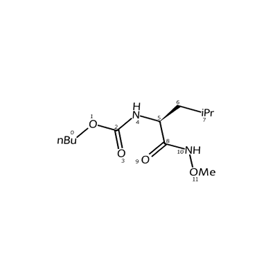 CCCCOC(=O)N[C@@H](CC(C)C)C(=O)NOC